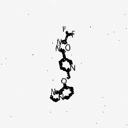 FC(F)c1nnc(-c2ccc(COc3cccn4ccnc34)nc2)o1